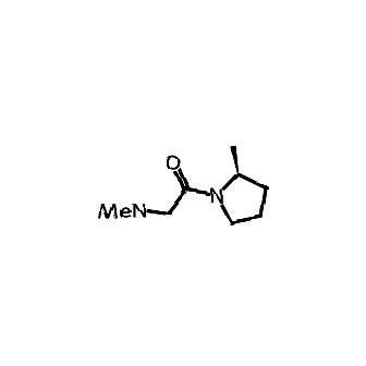 CNCC(=O)N1CCC[C@@H]1C